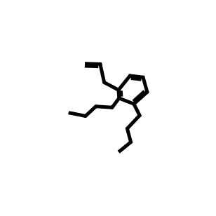 C=CCc1cccc(CCCC)c1CCCC